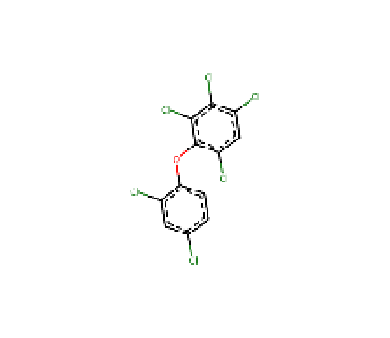 Clc1ccc(Oc2c(Cl)cc(Cl)c(Cl)c2Cl)c(Cl)c1